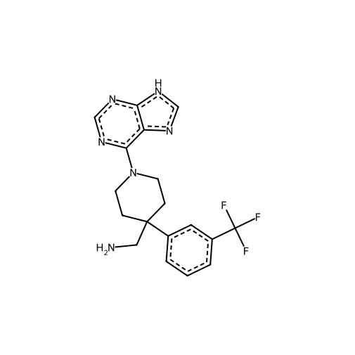 NCC1(c2cccc(C(F)(F)F)c2)CCN(c2ncnc3[nH]cnc23)CC1